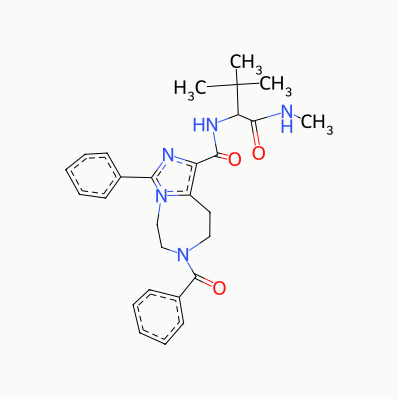 CNC(=O)C(NC(=O)c1nc(-c2ccccc2)n2c1CCN(C(=O)c1ccccc1)CC2)C(C)(C)C